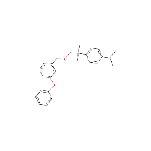 CC(C)c1ccc(C(C)(C)COCc2cccc(Oc3ccccc3)c2)cc1